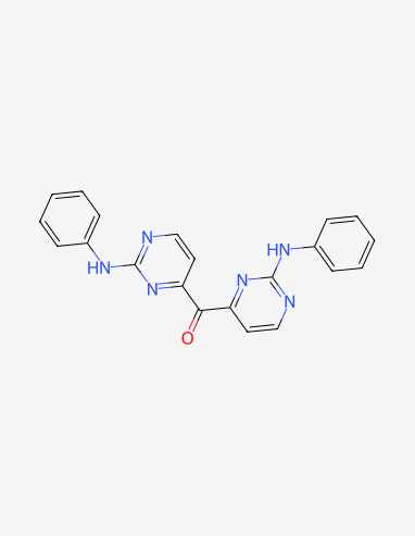 O=C(c1ccnc(Nc2ccccc2)n1)c1ccnc(Nc2ccccc2)n1